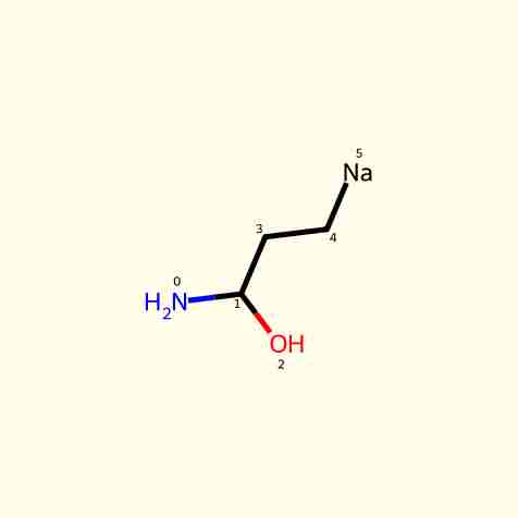 NC(O)C[CH2][Na]